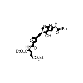 CCOC(=O)CC[C@H](NC(=O)c1cc(C#Cn2cnc3nc(NC(=O)C(C)(C)C)cc-3c2O)co1)C(=O)OCC